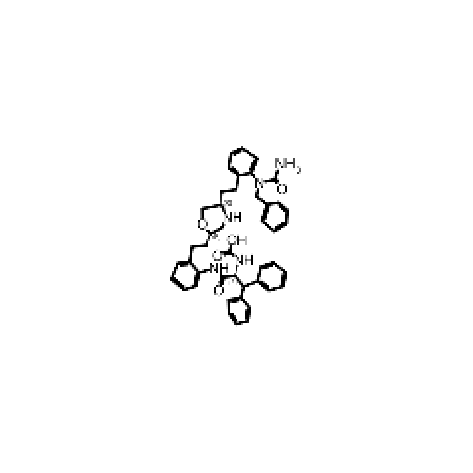 NC(=O)N(Cc1ccccc1)c1ccccc1CC[C@@H]1CO[C@H](CCc2ccccc2NC(=O)[C@@H](NC(=O)O)C(c2ccccc2)c2ccccc2)CN1